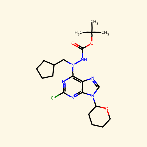 CC(C)(C)OC(=O)NN(CC1CCCC1)c1nc(Cl)nc2c1ncn2C1CCCCO1